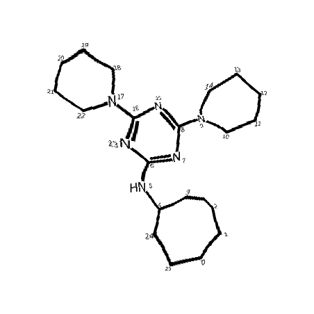 C1CCCC(Nc2nc(N3CCCCC3)nc(N3CCCCC3)n2)CC1